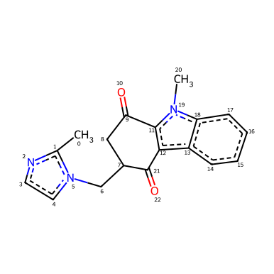 Cc1nccn1CC1CC(=O)c2c(c3ccccc3n2C)C1=O